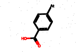 O=C(O)c1ccc([At])cc1